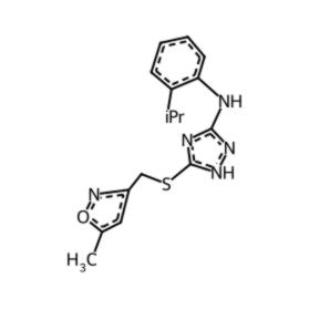 Cc1cc(CSc2nc(Nc3ccccc3C(C)C)n[nH]2)no1